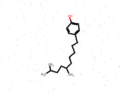 CC(C)CCC(C)CCCCCc1ccc(O)cc1